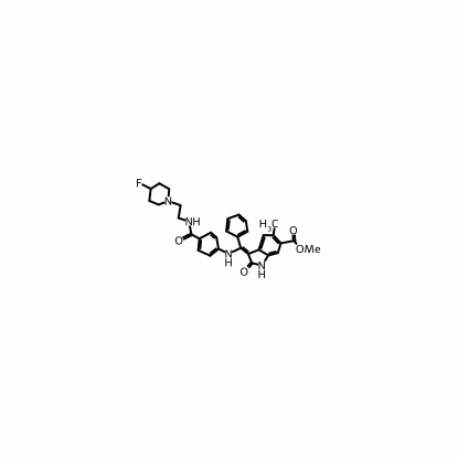 COC(=O)c1cc2c(cc1C)/C(=C(/Nc1ccc(C(=O)NCCN3CCC(F)CC3)cc1)c1ccccc1)C(=O)N2